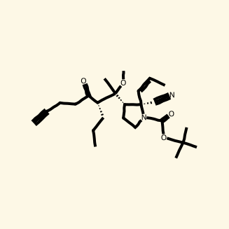 C#CCCC(=O)[C@@H](CCC)C(C)(OC)[C@H]1CCN(C(=O)OC(C)(C)C)[C@]1(C#N)/C=C\C